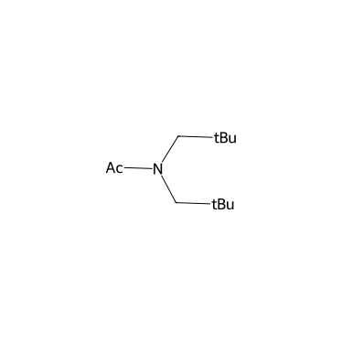 CC(=O)N(CC(C)(C)C)CC(C)(C)C